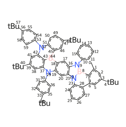 Cc1cc(C(C)(C)C)cc2c1B1N(c3ccccc3)c3cc4c(cc3N1c1ccccc1-2)N(c1ccc(C(C)(C)C)cc1)c1cc(C(C)(C)C)cc2c1B4c1cc(C(C)(C)C)ccc1N2c1ccc(C(C)(C)C)cc1